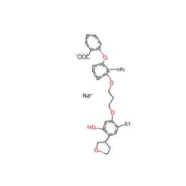 CCCc1c(OCCCOc2cc(O)c(C3CCOC3)cc2CC)cccc1Oc1ccccc1C(=O)[O-].[Na+]